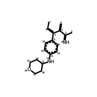 C=C(C(C)=N)/C(=C\C)c1ccc(NC2CCOCC2)cc1